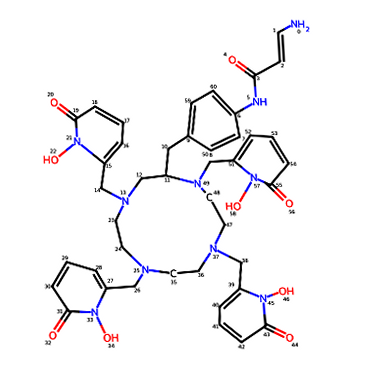 NC=CC(=O)Nc1ccc(CC2CN(Cc3cccc(=O)n3O)CCN(Cc3cccc(=O)n3O)CCN(Cc3cccc(=O)n3O)CCN2Cc2cccc(=O)n2O)cc1